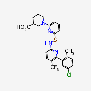 Cc1ccc(Cl)cc1-c1nc(NSc2cccc(N3CCCC(C(=O)O)C3)n2)ccc1C(F)(F)F